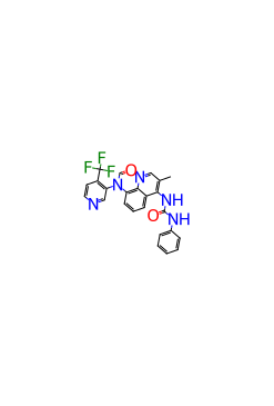 Cc1cnc2c(N(C=O)c3cnccc3C(F)(F)F)cccc2c1NC(=O)Nc1ccccc1